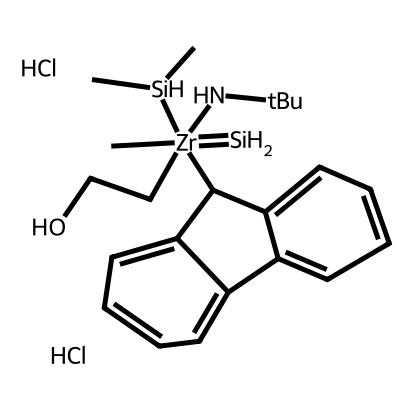 C[SiH](C)[Zr]([CH3])(=[SiH2])([CH2]CO)([NH]C(C)(C)C)[CH]1c2ccccc2-c2ccccc21.Cl.Cl